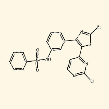 CCc1nc(-c2cccc(NS(=O)(=O)c3ccccc3)c2)c(-c2ccnc(Cl)n2)s1